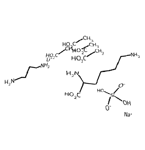 CC(=O)O.CC(=O)O.CC(=O)O.CC(=O)O.NCCCCC(N)C(=O)O.NCCN.[Li+].[Na+].[O-][Si]([O-])(O)O